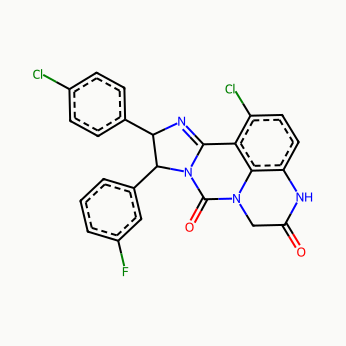 O=C1CN2C(=O)N3C(=NC(c4ccc(Cl)cc4)C3c3cccc(F)c3)c3c(Cl)ccc(c32)N1